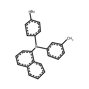 CCCCc1ccc(N(c2cccc(C)c2)c2cccc3ccccc23)cc1